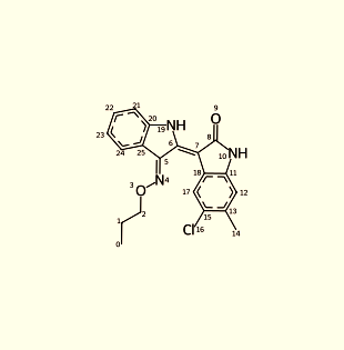 CCCO/N=C1/C(=C2/C(=O)Nc3cc(C)c(Cl)cc32)Nc2ccccc21